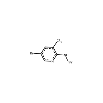 CCCNc1ncc(Br)cc1C(F)(F)F